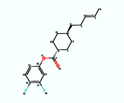 C/C=C/CC[C@H]1CC[C@H](C(=O)Oc2ccc(F)c(F)c2)CC1